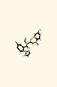 CCN(C(=O)c1cc(C)ccc1-n1nccn1)[C@@H](C)CN(C)c1ccc(Cl)cn1